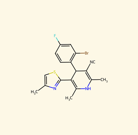 [C-]#[N+]C1=C(C)NC(C)=C(c2nc(C)cs2)C1c1ccc(F)cc1Br